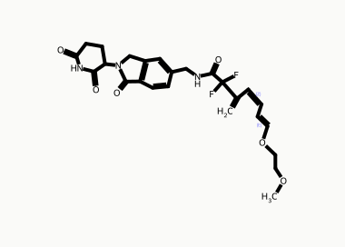 C=C(/C=C\C=C\OCCOC)C(F)(F)C(=O)NCc1ccc2c(c1)CN(C1CCC(=O)NC1=O)C2=O